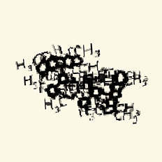 CC(C[C@@H](C)Oc1ccc(F)cc1-c1cc(C(C)(C)CC(C)(C)C)cc(-c2c3cc4c(cc3cc3cc5c(cc23)C(C)(C)CCC5(C)C)C(C)(C)CCC4(C)C)c1O)Oc1ccc(F)cc1-c1cc(C(C)(C)CC(C)(C)C)cc(-c2c3cc4c(cc3cc3cc5c(cc23)C(C)(C)CCC5(C)C)C(C)(C)CCC4(C)C)c1O